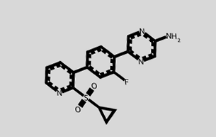 Nc1cnc(-c2ccc(-c3cccnc3S(=O)(=O)C3CC3)cc2F)cn1